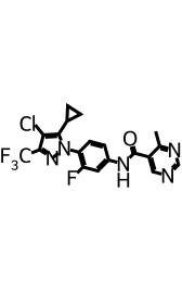 Cc1ncncc1C(=O)Nc1ccc(-n2nc(C(F)(F)F)c(Cl)c2C2CC2)c(F)c1